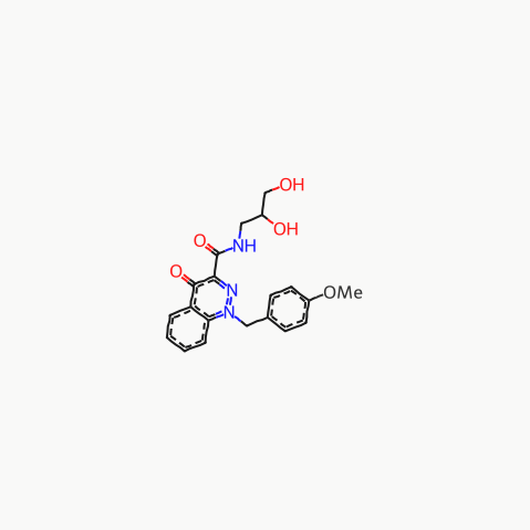 COc1ccc(Cn2nc(C(=O)NCC(O)CO)c(=O)c3ccccc32)cc1